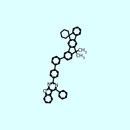 CC1(C)c2ccc(-c3cccc(-c4ccc(-c5nc(-c6ccccc6)c6c(n5)oc5ccccc56)cc4)c3)cc2-c2cc3c(cc21)-c1ccccc1C31CCCCC1